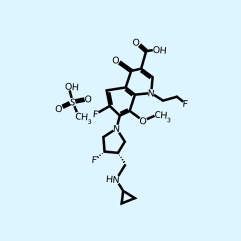 COc1c(N2C[C@H](CNC3CC3)[C@H](F)C2)c(F)cc2c(=O)c(C(=O)O)cn(CCF)c12.CS(=O)(=O)O